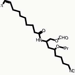 CCCCCCCC/C=C\CCCCCCCC(=O)NC(COC=O)CC(CCCCCCCCCCCCCC)OC(C)C